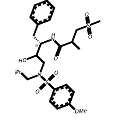 COc1ccc(S(=O)(=O)N(CC(C)C)CC(O)[C@H](Cc2ccccc2)NC(=O)C(C)CS(C)(=O)=O)cc1